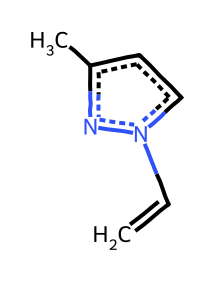 C=Cn1ccc(C)n1